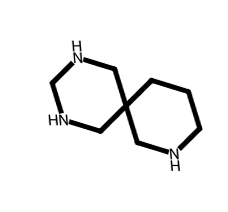 C1CNCC2(C1)CNCNC2